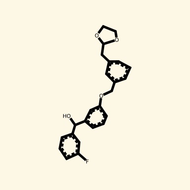 OC(c1cccc(F)c1)c1cccc(OCc2cccc(CC3OCCO3)c2)c1